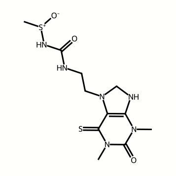 Cn1c2c(c(=S)n(C)c1=O)N(CCNC(=O)N[S+](C)[O-])CN2